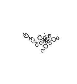 COc1ccc(S(=O)(=O)N2C(=O)C(OCC(=O)N3CCN(c4ccncc4)CC3)(c3ccccc3OC(C)C)c3cc(Cl)ccc32)c(OC)c1